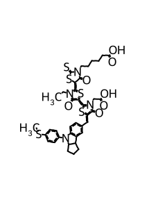 CCn1c(=O)/c(=c2\s/c(=C\c3ccc4c(c3)C3CCCC3N4c3ccc(SC)cc3)c(=O)n2CC(=O)O)s/c1=C1/SC(=S)N(CCCCCC(=O)O)C1=O